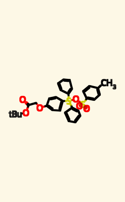 Cc1ccc(S(=O)(=O)OS(c2ccccc2)(c2ccccc2)c2ccc(OCC(=O)OC(C)(C)C)cc2)cc1